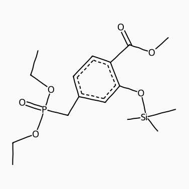 CCOP(=O)(Cc1ccc(C(=O)OC)c(O[Si](C)(C)C)c1)OCC